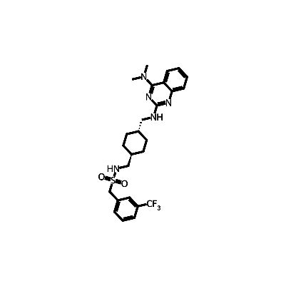 CN(C)c1nc(NC[C@H]2CC[C@H](CNS(=O)(=O)Cc3cccc(C(F)(F)F)c3)CC2)nc2ccccc12